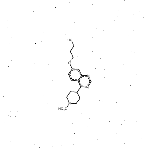 O=C(O)N1CCC(c2ncnc3cc(OCCCO)ccc23)CC1